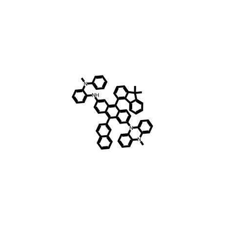 CN(c1ccccc1)c1ccccc1Nc1ccc2c(-c3ccc4ccccc4c3)c3cc(N4c5ccccc5N(C)c5ccccc54)ccc3c(-c3cccc4c3-c3ccccc3C4(C)C)c2c1